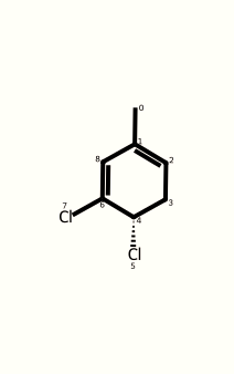 CC1=CC[C@H](Cl)C(Cl)=C1